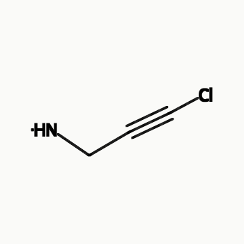 [NH]CC#CCl